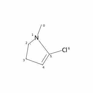 CN1[CH]CC=C1Cl